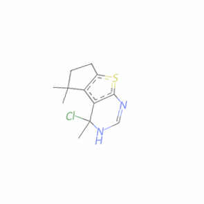 CC1(C)CCc2sc3c(c21)C(C)(Cl)NC=N3